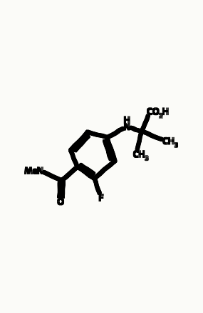 CNC(=O)c1ccc(NC(C)(C)C(=O)O)cc1F